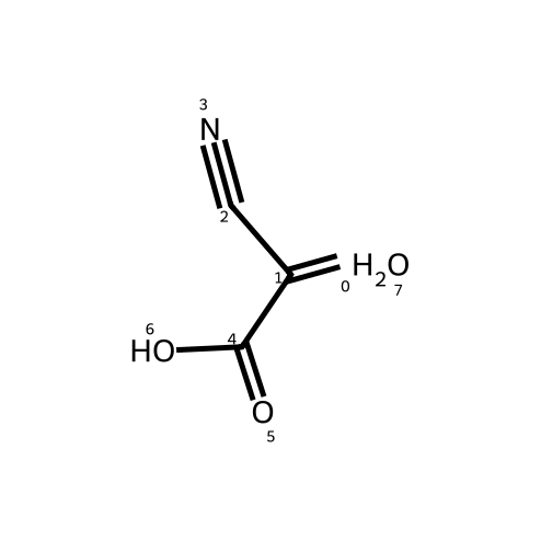 C=C(C#N)C(=O)O.O